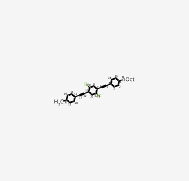 CCCCCCCCc1ccc(C#Cc2cc(F)c(C#Cc3ccc(C)cc3)cc2F)cc1